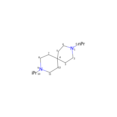 CCCN1CCC2(CC1)CCN(C(C)C)CC2